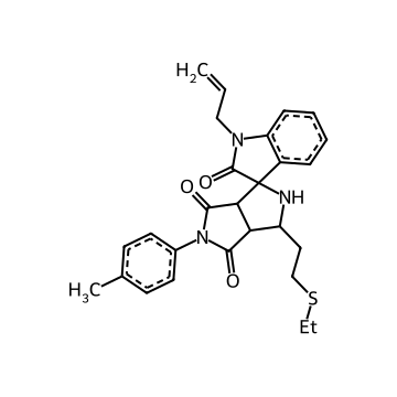 C=CCN1C(=O)C2(NC(CCSCC)C3C(=O)N(c4ccc(C)cc4)C(=O)C32)c2ccccc21